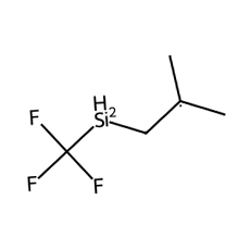 C[C](C)C[SiH2]C(F)(F)F